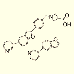 O=C(O)C1CN(Cc2ccc(-c3cc4cc(-c5cccnc5)ccc4o3)cc2)C1.c1cncc(-c2ccc3occc3c2)c1